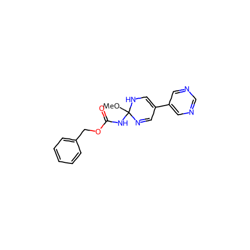 COC1(NC(=O)OCc2ccccc2)N=CC(c2cncnc2)=CN1